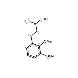 COc1cccc(SCC(C)C=O)c1OC